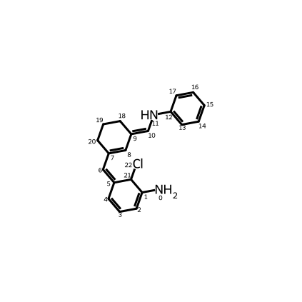 NC1=CC=CC(=CC2=CC(=CNc3ccccc3)CCC2)C1Cl